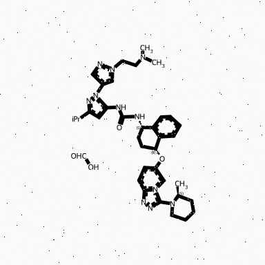 CC(C)c1cc(NC(=O)N[C@H]2CC[C@@H](Oc3ccc4nnc(N5CCCC[C@@H]5C)n4c3)c3ccccc32)n(-c2cnn(CCN(C)C)c2)n1.O=CO